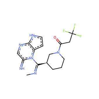 C/N=C(/[C@@H]1CCCN(C(=O)CC(F)(F)F)C1)n1c(=N)cnc2[nH]ccc21